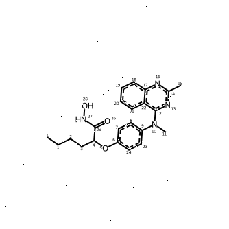 CCCCC(Oc1ccc(N(C)c2nc(C)nc3ccccc23)cc1)C(=O)NO